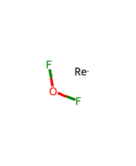 FOF.[Re]